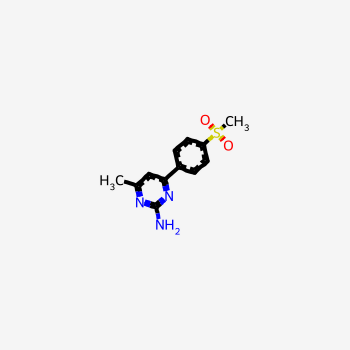 Cc1cc(-c2ccc(S(C)(=O)=O)cc2)nc(N)n1